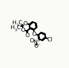 CC1(C)OC(=O)c2c(Oc3ccc(Cl)cc3[N+](=O)[O-])cccc2O1